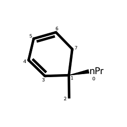 CCC[C@@]1(C)C=CC=CC1